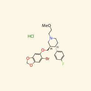 COCCN1CC[C@H](c2ccc(F)cc2)[C@@H](COc2cc3c(cc2Br)OCO3)C1.Cl